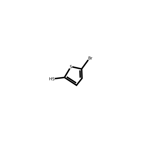 Sc1ccc(Br)s1